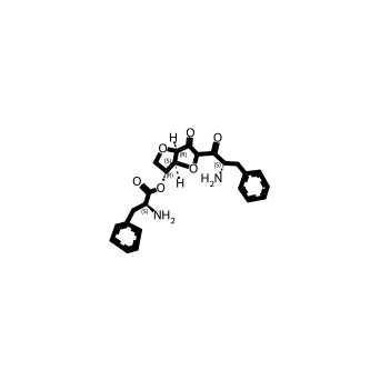 N[C@@H](Cc1ccccc1)C(=O)O[C@@H]1CO[C@H]2C(=O)C(C(=O)[C@@H](N)Cc3ccccc3)O[C@@H]12